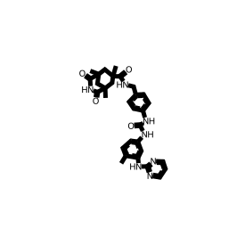 Cc1ccc(NC(=O)Nc2ccc(CNC(=O)C3(C)CC4(C)CC(C)(C3)C(=O)NC4=O)cc2)cc1Nc1ncccn1